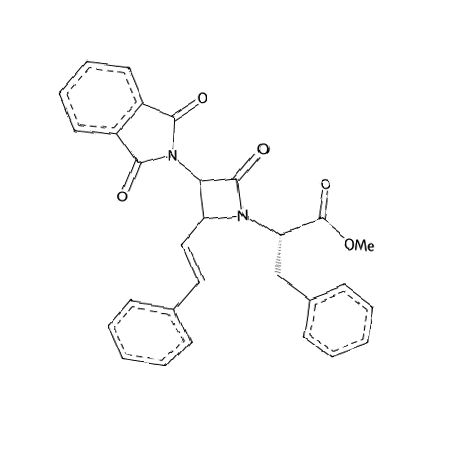 COC(=O)[C@H](Cc1ccccc1)N1C(=O)C(N2C(=O)c3ccccc3C2=O)C1C=Cc1ccccc1